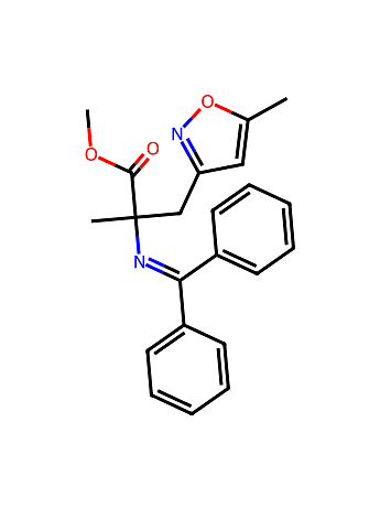 COC(=O)C(C)(Cc1cc(C)on1)N=C(c1ccccc1)c1ccccc1